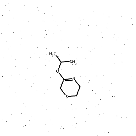 CC(C)OC1=NCCSC1